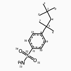 CC(C)(C)CC(C)(C)c1ccc(S([NH])(=O)=O)cc1